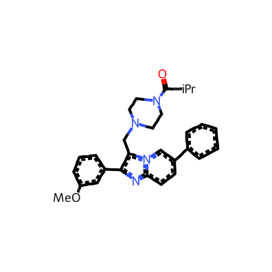 COc1cccc(-c2nc3ccc(-c4ccccc4)cn3c2CN2CCN(C(=O)C(C)C)CC2)c1